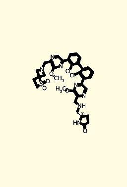 COc1nc(-c2cccc(-c3cccc(-c4cnc(CN5CC6(CCS6(=O)=O)C5)c(OC)n4)c3Cl)c2Cl)cnc1CNC[C@@H]1CCC(=O)N1